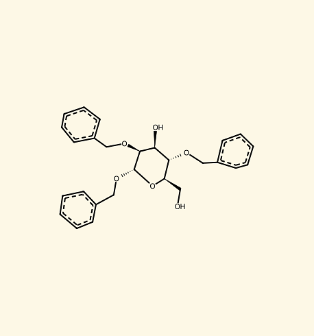 OC[C@H]1O[C@H](OCc2ccccc2)[C@@H](OCc2ccccc2)[C@@H](O)[C@@H]1OCc1ccccc1